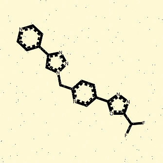 FC(F)c1nnc(-c2ccc(Cn3cc(-c4ccncc4)nn3)nc2)o1